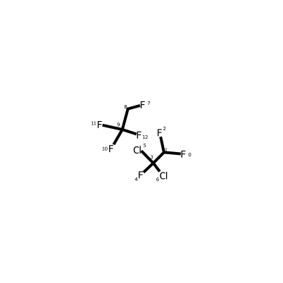 FC(F)C(F)(Cl)Cl.FCC(F)(F)F